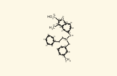 Cc1cccc(CN(CCc2ccccc2)Sc2ccc3oc(C(=O)O)c(C)c3c2)c1